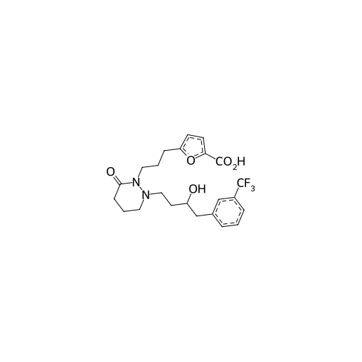 O=C(O)c1ccc(CCCN2C(=O)CCCN2CCC(O)Cc2cccc(C(F)(F)F)c2)o1